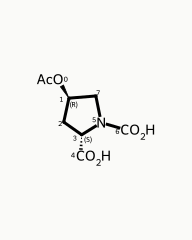 CC(=O)O[C@@H]1C[C@@H](C(=O)O)N(C(=O)O)C1